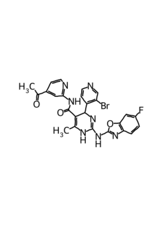 CC(=O)c1ccnc(NC(=O)C2=C(C)NC(Nc3nc4ccc(F)cc4o3)=NC2c2ccncc2Br)c1